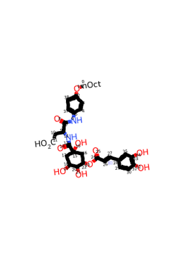 CCCCCCCCOc1ccc(NC(=O)C(CC(=O)O)NC(=O)C2(O)CC(O)C(O)C(OC(=O)/C=C/c3ccc(O)c(O)c3)C2)cc1